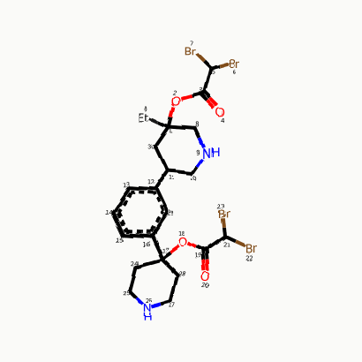 CCC1(OC(=O)C(Br)Br)CNCC(c2cccc(C3(OC(=O)C(Br)Br)CCNCC3)c2)C1